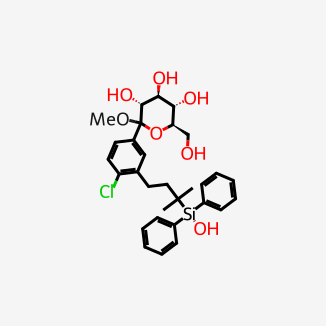 COC1(c2ccc(Cl)c(CCC(C)(C)[Si](O)(c3ccccc3)c3ccccc3)c2)O[C@H](CO)[C@@H](O)[C@H](O)[C@H]1O